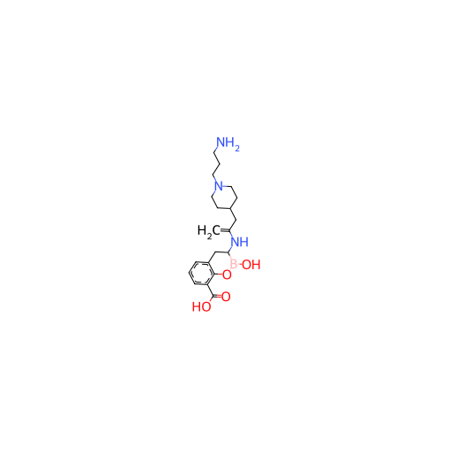 C=C(CC1CCN(CCCN)CC1)NC1Cc2cccc(C(=O)O)c2OB1O